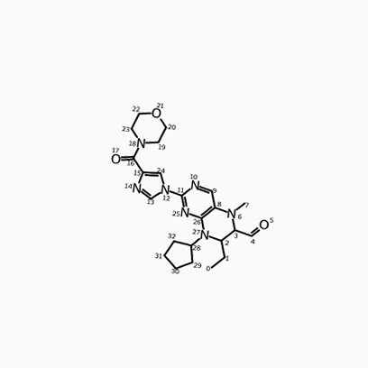 CCC1C(C=O)N(C)c2cnc(-n3cnc(C(=O)N4CCOCC4)c3)nc2N1C1CCCC1